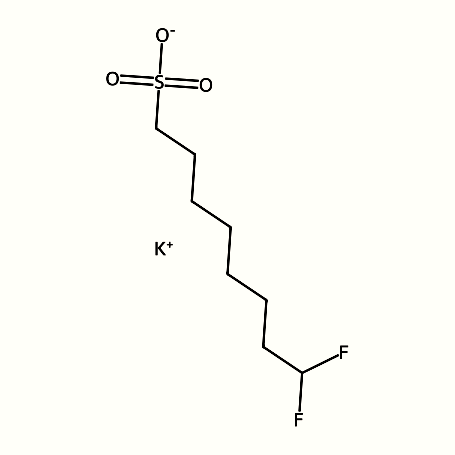 O=S(=O)([O-])CCCCCCCC(F)F.[K+]